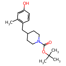 Cc1cc(O)ccc1CC1CCN(C(=O)OC(C)(C)C)CC1